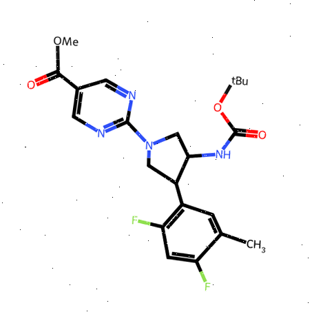 COC(=O)c1cnc(N2CC(NC(=O)OC(C)(C)C)C(c3cc(C)c(F)cc3F)C2)nc1